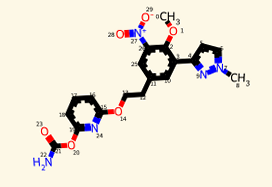 COc1c(-c2ccn(C)n2)cc(CCOc2cccc(OC(N)=O)n2)cc1[N+](=O)[O-]